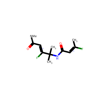 CNC(=O)/C=C(\F)C(C)(C)NC(=O)/C=C(\C)F